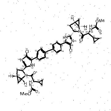 COC(=O)N[C@H](C(=O)N1[C@@H]2C[C@@H]2C[C@H]1c1nc(Cl)c(-c2ccc(-c3ccc(-c4[nH]c([C@@H]5C[C@H]6C[C@H]6N5C(=O)[C@@H](NC(=O)OC)C5CC5)nc4Cl)cc3)cc2)[nH]1)C1CC1